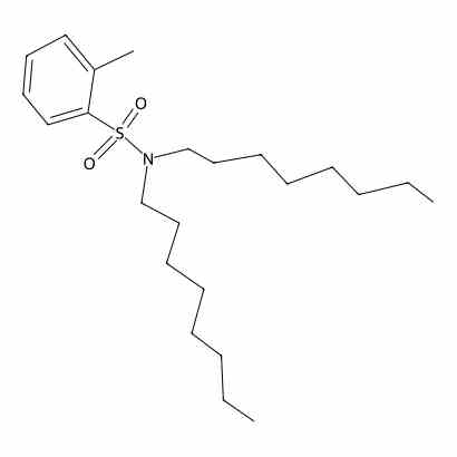 CCCCCCCCN(CCCCCCCC)S(=O)(=O)c1ccccc1C